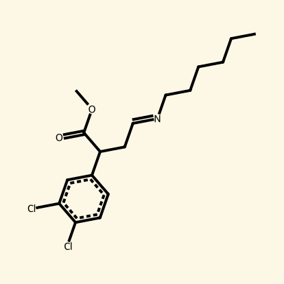 CCCCCCN=CCC(C(=O)OC)c1ccc(Cl)c(Cl)c1